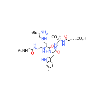 CCCC[C@H](N)CNCC[C@H](NCCNC(=O)CNC(C)=O)C(=O)N[C@H](Cc1c[nH]c2cc(C)ccc12)C(=O)NCC[C@@H](NC(=O)CCCC(=O)O)C(=O)O